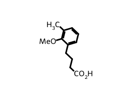 COc1c(C)cccc1CCCC(=O)O